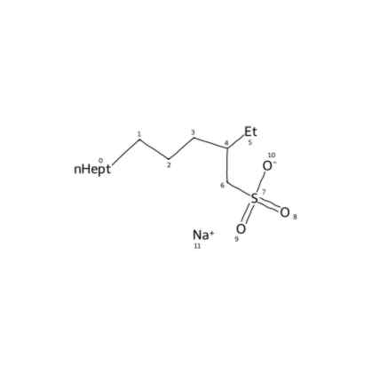 CCCCCCCCCCC(CC)CS(=O)(=O)[O-].[Na+]